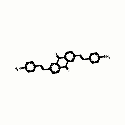 Nc1ccc(C=Cc2ccc3c(c2)C(=O)c2ccc(C=Cc4ccc(N)cc4)cc2C3=O)cc1